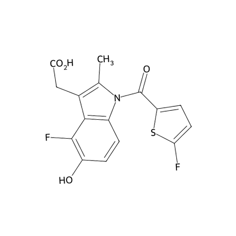 Cc1c(CC(=O)O)c2c(F)c(O)ccc2n1C(=O)c1ccc(F)s1